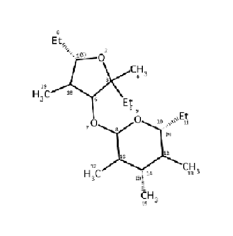 CC[C@@H]1OC(C)(CC)C(OC2O[C@H](CC)C(C)[C@H](C)C2C)C1C